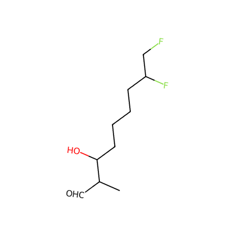 CC(C=O)C(O)CCCCC(F)CF